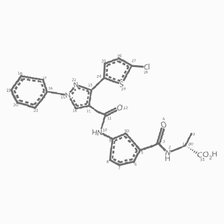 C[C@@H](NC(=O)c1cccc(NC(=O)c2cn(-c3ccccc3)nc2-c2ccc(Cl)s2)c1)C(=O)O